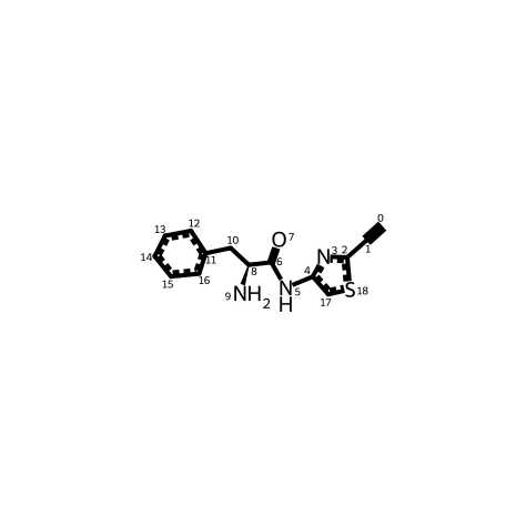 C#Cc1nc(NC(=O)[C@@H](N)Cc2ccccc2)cs1